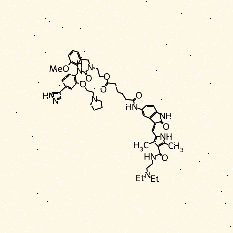 CCN(CC)CCNC(=O)c1c(C)[nH]c(/C=C2\C(=O)Nc3ccc(NC(=O)CCCCC(=O)OCCN(Cc4cccc(OC)c4)C(=O)Nc4ccc(-c5cn[nH]c5)cc4OCCN4CCCC4)cc32)c1C